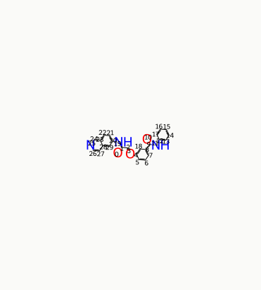 O=C(COc1cccc(C(=O)Nc2ccccc2)c1)Nc1ccc2cnccc2c1